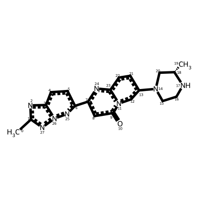 Cc1nc2ccc(-c3cc(=O)n4cc(N5CCN[C@@H](C)C5)ccc4n3)nn2n1